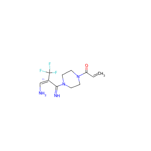 C=CC(=O)N1CCN(C(=N)/C(=C\N)C(F)(F)F)CC1